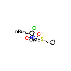 CCCC/C=C/c1cc(Cl)cc(NC(=O)CSCCCc2ccccc2)c1C(=O)OC